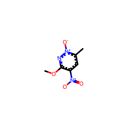 COc1n[n+]([O-])c(C)cc1[N+](=O)[O-]